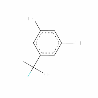 Cc1[c]c(C)cc(C(F)(C(F)(F)F)C(F)(F)F)c1